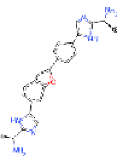 CC(C)(C)[C@H](N)c1ncc(-c2ccc(-c3cc4ccc(-c5cnc([C@@H](N)C(C)(C)C)[nH]5)cc4o3)cc2)[nH]1